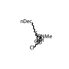 CCCCCCCCCCCCCCCCSCC(CNS(=O)(=O)CCCCl)OC(=O)NC